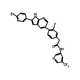 CCc1ccc(-c2cc3cc(-c4ccc(CC(=O)Nc5cncc(C(F)(F)F)c5)cc4F)cnc3[nH]2)cn1